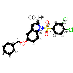 O=C(O)c1cc2cc(OCc3ccccc3)ccc2n1S(=O)(=O)c1ccc(Cl)c(Cl)c1